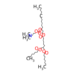 CCCCCCCCCCCCC(CCOC(=O)CCCCCC(COC(=O)CCCCCCC)COC(=O)CCCCCCC)OC(=O)OCCCN(C)C